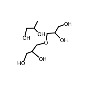 CC(O)CO.OCC(O)COCC(O)CO